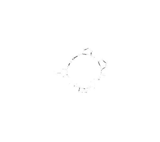 CN1c2cccc(c2)Nc2cc(ccn2)-c2cnc(nc2)N2CC(O)CC2CCNC(=O)C2(CC2)N2CCC1CC2